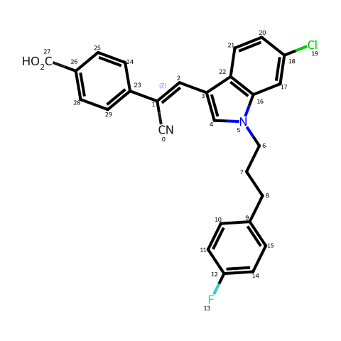 N#C/C(=C\c1cn(CCCc2ccc(F)cc2)c2cc(Cl)ccc12)c1ccc(C(=O)O)cc1